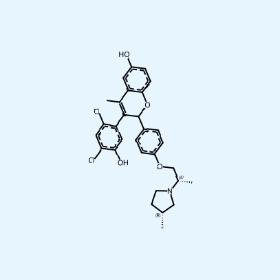 CC1=C(c2cc(O)c(Cl)cc2Cl)C(c2ccc(OC[C@H](C)N3CC[C@@H](C)C3)cc2)Oc2ccc(O)cc21